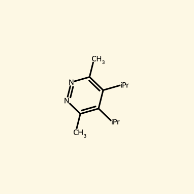 Cc1nnc(C)c(C(C)C)c1C(C)C